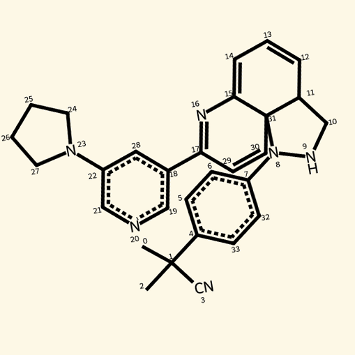 CC(C)(C#N)c1ccc(N2NCC3C=CC=C4N=C(c5cncc(N6CCCC6)c5)C=CC432)cc1